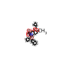 COc1ccc2c(c1OCc1ccccc1)C[C@H](C(=O)O)N(C(=O)[C@@H](Oc1ccc3ccccc3c1)c1ccccc1)C2